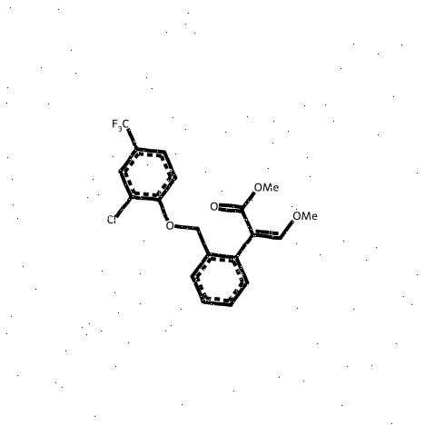 COC=C(C(=O)OC)c1ccccc1COc1ccc(C(F)(F)F)cc1Cl